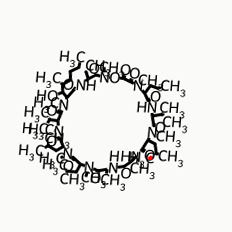 CCCCC(C)C(O)C1C(=O)NC(CC)C(=O)N(C)OC(=O)C(=O)N(C)C(CCC)C(=O)NC(C(C)C)C(=O)N(C)C(CC(C)C)C(=O)NC(C)C(=O)NC(C)C(=O)N(C)C(CC(C)C)C(=O)N(C)C(CC(C)C)C(=O)N(C)C(C(C)C)C(=O)N1C